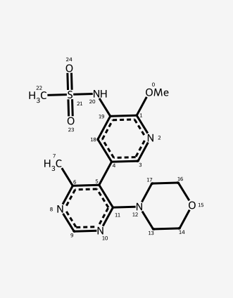 COc1ncc(-c2c(C)ncnc2N2CCOCC2)cc1NS(C)(=O)=O